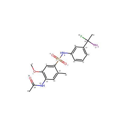 COc1cc(S(=O)(=O)Nc2cccc(C(C)(F)P)c2)c(C)cc1NC(C)=O